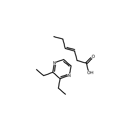 CCC=CCC(=O)O.CCc1nccnc1CC